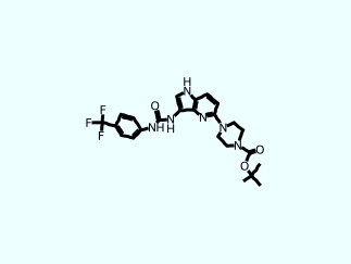 CC(C)(C)OC(=O)N1CCN(c2ccc3[nH]cc(NC(=O)Nc4ccc(C(F)(F)F)cc4)c3n2)CC1